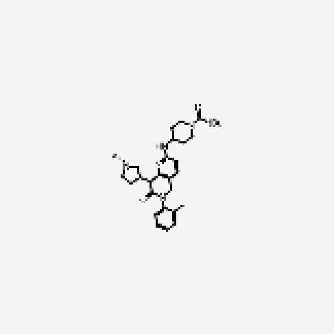 CC(=O)N1CCC(C2C(=O)N(c3ccccc3C)Cc3ccc(NC4CCN(C(=O)C(C)(C)C)CC4)nc32)C1